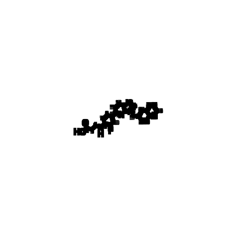 O=C(O)CCNc1ccc(-c2ccc3nnn(Cc4ccc5ncccc5c4)c3n2)cc1F